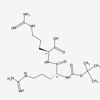 CC(C)(C)OC(=O)N[C@H](CCCNC(=N)N)C(=O)N[C@@H](CCCNC(=N)N)C(=O)O